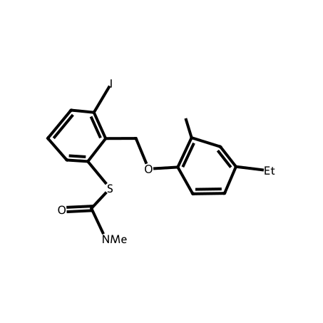 CCc1ccc(OCc2c(I)cccc2SC(=O)NC)c(C)c1